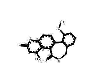 COc1cccc2c1-c1ccc3[nH]c(=O)cc(C)c3c1C(=O)OC2